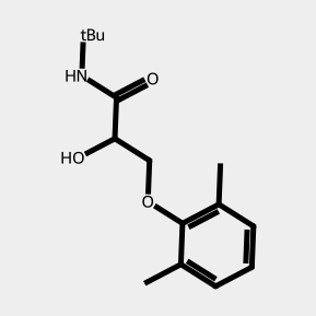 Cc1cccc(C)c1OCC(O)C(=O)NC(C)(C)C